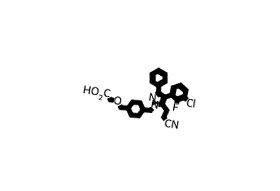 N#CCCc1c(-c2cccc(Cl)c2F)c(-c2ccccc2)nn1CC1CCC(COCC(=O)O)CC1